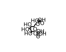 O=P(O)(O)OCC1OC(OP(=O)(O)O)C(O)[C@H](O)C1O